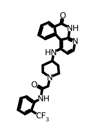 O=C(CN1CCC(Nc2ccnc3[nH]c(=O)c4ccccc4c23)CC1)Nc1ccccc1C(F)(F)F